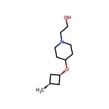 C[C@H]1C[C@@H](OC2CCN(CCO)CC2)C1